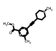 COC(=O)c1cc(C#CC2CCN(C)CC2)cc(C)n1